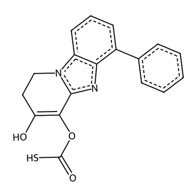 O=C(S)OC1=C(O)CCn2c1nc1c(-c3ccccc3)cccc12